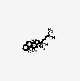 CC(C)CCC[C@@H](C)[C@]1(Cl)CC[C@H]2[C@@H]3CCC4CCCC(O)[C@]4(C)[C@H]3CC[C@@]21C